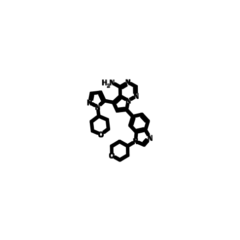 Nc1ncnn2c(-c3ccc4ncn(C5CCOCC5)c4c3)cc(-c3ccnn3C3CCOCC3)c12